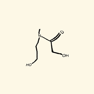 CN(CCO)C(=O)CO